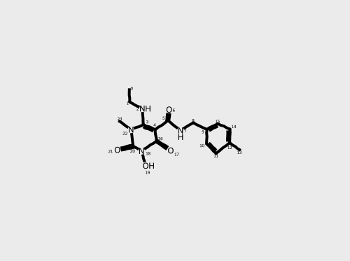 CCNc1c(C(=O)NCc2ccc(C)cc2)c(=O)n(O)c(=O)n1C